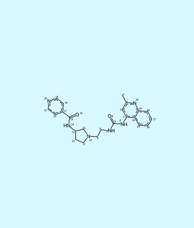 Cc1cc(NC(=O)NCCN2CCC(NC(=O)c3ccncc3)C2)c2ccccc2n1